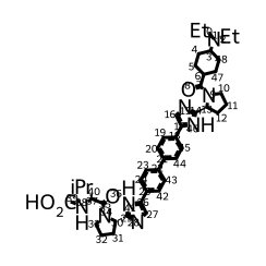 CCN(CC)C1CCC(C(=O)N2CCC[C@H]2c2ncc(-c3ccc(-c4ccc(-c5cnc([C@@H]6CCCN6C(=O)[C@@H](NC(=O)O)C(C)C)[nH]5)cc4)cc3)[nH]2)CC1